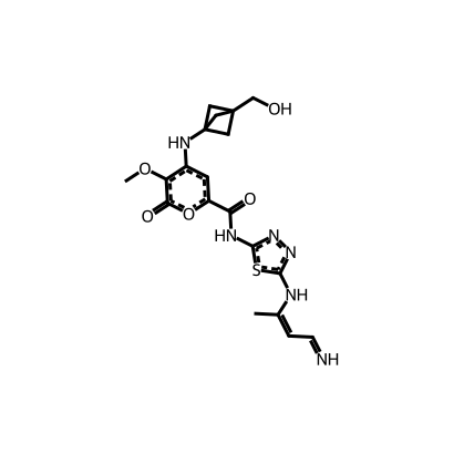 COc1c(NC23CC(CO)(C2)C3)cc(C(=O)Nc2nnc(N/C(C)=C\C=N)s2)oc1=O